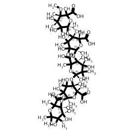 CO[C@]1(C)C(C)(C(=O)O)O[C@@](C)(O[C@@]2(C)C(C)(O)C(C)(O)[C@](C)(O[C@]3(C)C(C)(C(=O)O)O[C@@](C)(O[C@@]4(C)C(C)(O)C(C)(O)[C@](C)(O[C@]5(C)C(C)(C(=O)O)OC(C)(C)C(C)(O)[C@]5(C)O)O[C@@]4(C)C(=O)O)C(C)(O)[C@@]3(C)O)O[C@@]2(C)C(=O)O)C(C)(O)[C@]1(C)O